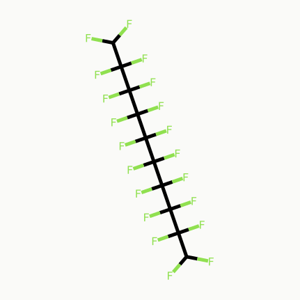 FC(F)C(F)(F)C(F)(F)C(F)(F)C(F)(F)C(F)(F)C(F)(F)C(F)(F)C(F)(F)C(F)F